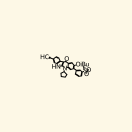 C#Cc1ccc2c(c1)[nH]c1c2c(=O)c2cc(OCC(C)C)c(-c3cccc(S(=O)(=O)F)c3)cc2n1C1CCCC1